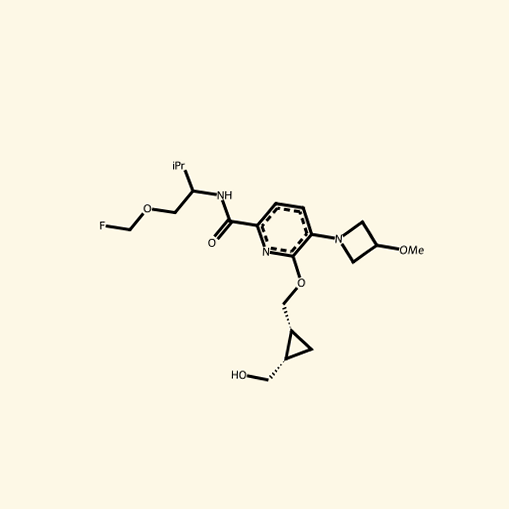 COC1CN(c2ccc(C(=O)NC(COCF)C(C)C)nc2OC[C@@H]2C[C@@H]2CO)C1